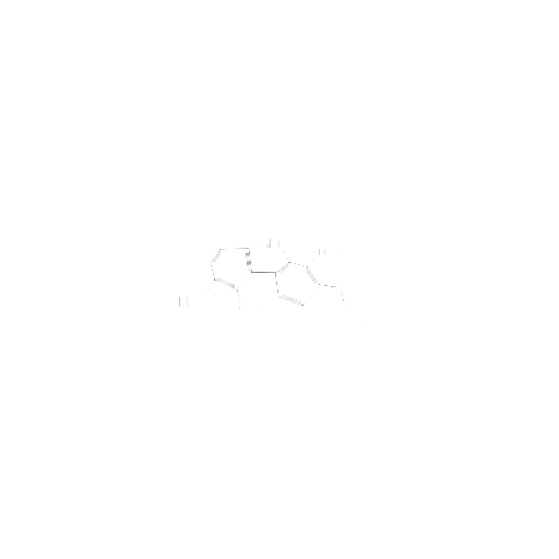 CCCc1c(OC(=O)O)ccc(-c2cccc(C)c2C)c1CCC